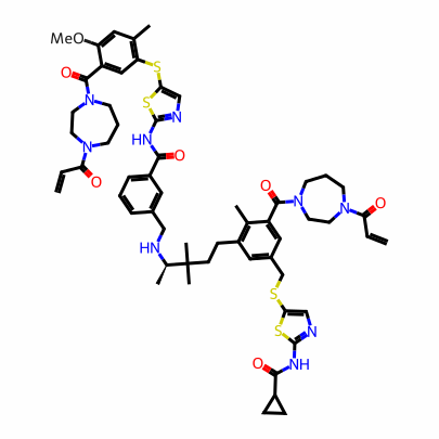 C=CC(=O)N1CCCN(C(=O)c2cc(Sc3cnc(NC(=O)c4cccc(CN[C@H](C)C(C)(C)CCc5cc(CSc6cnc(NC(=O)C7CC7)s6)cc(C(=O)N6CCCN(C(=O)C=C)CC6)c5C)c4)s3)c(C)cc2OC)CC1